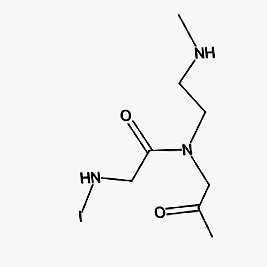 CNCCN(CC(C)=O)C(=O)CNI